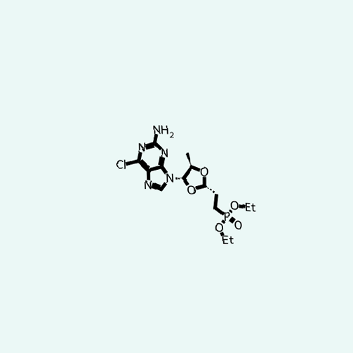 CCOP(=O)(CC[C@H]1O[C@H](C)[C@@H](n2cnc3c(Cl)nc(N)nc32)O1)OCC